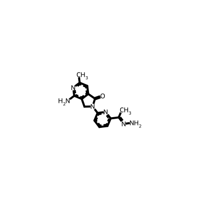 C/C(=N\N)c1cccc(N2Cc3c(cc(C)nc3N)C2=O)n1